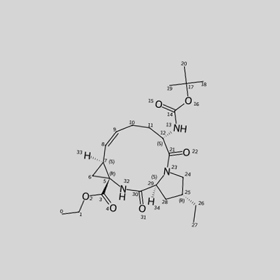 CCOC(=O)[C@@]12C[C@H]1C=CCC[C@H](NC(=O)OC(C)(C)C)C(=O)N1C[C@H](CC)C[C@H]1C(=O)N2